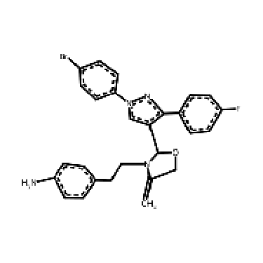 C=C1COC(c2cn(-c3ccc(Br)cc3)nc2-c2ccc(F)cc2)N1CCc1ccc(N)cc1